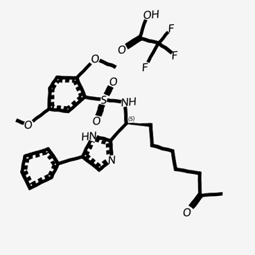 COc1ccc(OC)c(S(=O)(=O)N[C@@H](CCCCCC(C)=O)c2ncc(-c3ccccc3)[nH]2)c1.O=C(O)C(F)(F)F